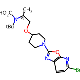 C[C@@H](COC1CCN(c2nc3ccc(Br)nc3o2)CC1)N(C(=O)O)C(C)(C)C